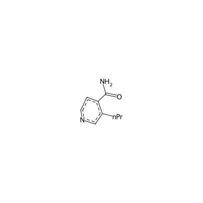 CCCc1cnccc1C(N)=O